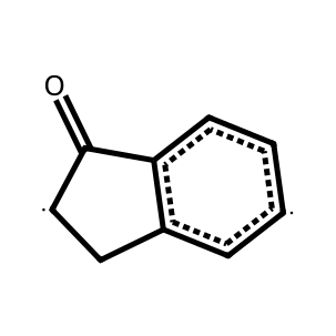 O=C1[CH]Cc2c[c]ccc21